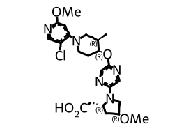 COc1cc(N2CC[C@@H](Oc3cnc(N4C[C@H](OC)C[C@@H]4CC(=O)O)cn3)[C@H](C)C2)c(Cl)cn1